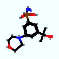 CC(C)(O)c1cc(N2CCOCC2)cc(S(N)(=O)=O)c1